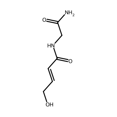 NC(=O)CNC(=O)C=CCO